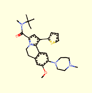 COc1cc2c(cc1N1CCN(C)CC1)-c1c(-c3cccs3)cc(C(=O)N(C)C(C)(C)C)n1CC2